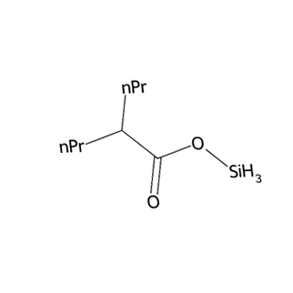 CCCC(CCC)C(=O)O[SiH3]